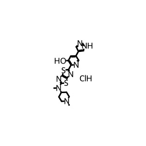 CN1CCC(N(C)c2nc3sc(-c4ncc(-c5cn[nH]c5)cc4O)nc3s2)CC1.Cl